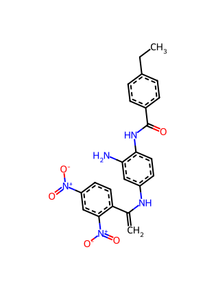 C=C(Nc1ccc(NC(=O)c2ccc(CC)cc2)c(N)c1)c1ccc([N+](=O)[O-])cc1[N+](=O)[O-]